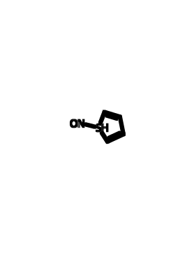 O=N[SH]1C=CC=C1